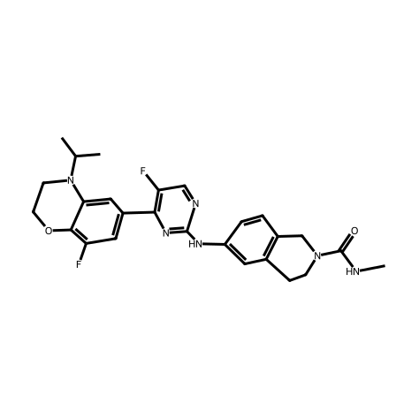 CNC(=O)N1CCc2cc(Nc3ncc(F)c(-c4cc(F)c5c(c4)N(C(C)C)CCO5)n3)ccc2C1